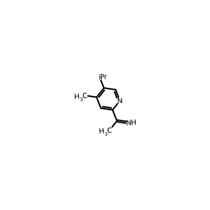 CC(=N)c1cc(C)c(C(C)C)cn1